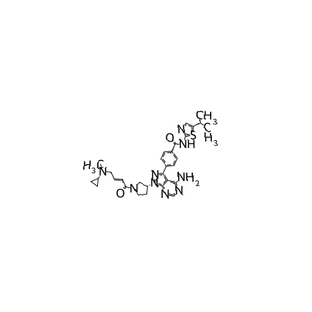 CC(C)c1cnc(NC(=O)c2ccc(-c3nn([C@@H]4CCN(C(=O)/C=C/CN(C)C5CC5)C4)c4ncnc(N)c34)cc2)s1